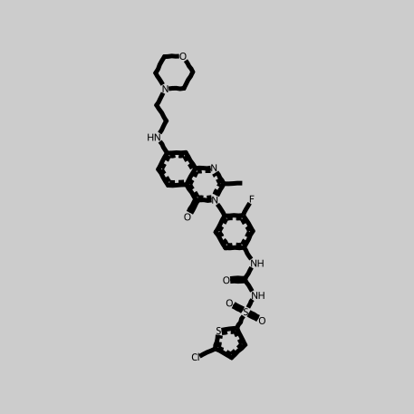 Cc1nc2cc(NCCN3CCOCC3)ccc2c(=O)n1-c1ccc(NC(=O)NS(=O)(=O)c2ccc(Cl)s2)cc1F